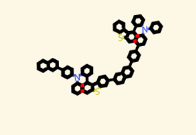 c1ccc(N(c2ccc(-c3ccc(-c4ccc5ccc(-c6ccc7c(c6)sc6cccc(-c8ccccc8N(c8ccccc8)c8ccc(-c9ccc%10ccccc%10c9)cc8)c67)cc5c4)cc3)cc2)c2ccccc2-c2cccc3sc4ccccc4c23)cc1